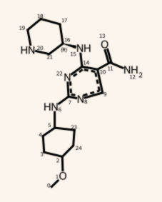 COC1CCC(Nc2ncc(C(N)=O)c(N[C@@H]3CCCNC3)n2)CC1